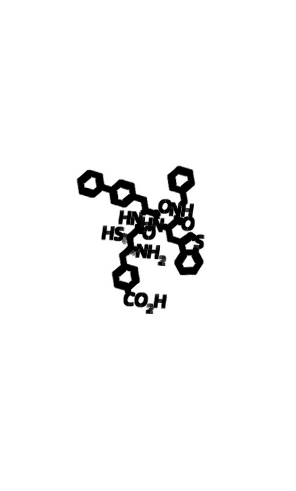 N[C@@H](Cc1ccc(C(=O)O)cc1)[C@H](S)C(=O)NC(Cc1ccc(-c2ccccc2)cc1)C(=O)NC(Cc1csc2ccccc12)C(=O)NCc1ccccc1